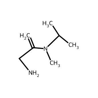 C=C(CN)N(C)C(C)C